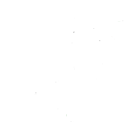 C=C1c2cc(C)cc(SF)c2CCC1Cc1ccc(F)cc1Cl